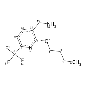 CCCCOc1nc(C(F)(F)F)ccc1CN